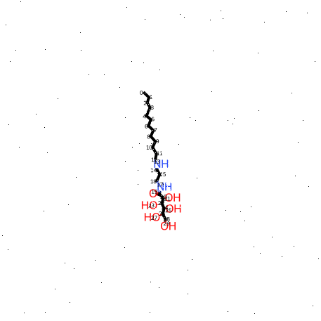 CCCCCCCCCCCCCNCCCNC(=O)[C@H](O)[C@@H](O)[C@H](O)[C@H](O)CO